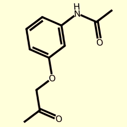 CC(=O)COc1cccc(NC(C)=O)c1